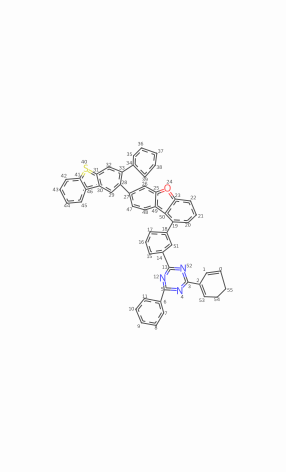 C1=CC(c2nc(-c3ccccc3)nc(-c3cccc(-c4cccc5oc6cc(-c7cc8c(cc7-c7ccccc7)sc7ccccc78)ccc6c45)c3)n2)=CCC1